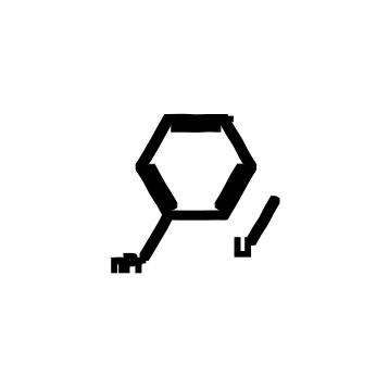 CCCc1cc[c]cc1.[Li][CH3]